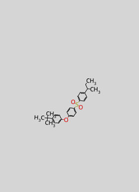 CCC(C)c1ccc(S(=O)(=O)c2ccc(Oc3ccc(C(C)(C)C)cc3)cc2)cc1